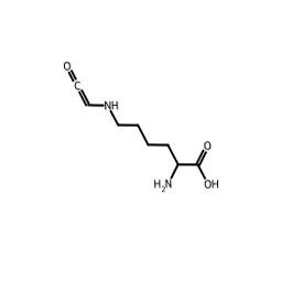 NC(CCCCNC=C=O)C(=O)O